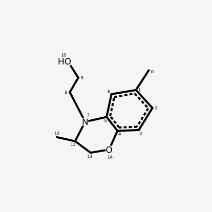 Cc1ccc2c(c1)N(CCO)C(C)CO2